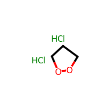 C1COOC1.Cl.Cl